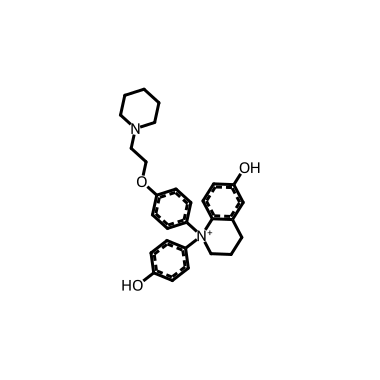 Oc1ccc([N+]2(c3ccc(OCCN4CCCCC4)cc3)CCCc3cc(O)ccc32)cc1